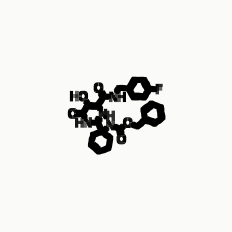 O=C(NC1(c2nc(C(=O)NCc3ccc(F)cc3)c(O)c(=O)[nH]2)CC=CCC1)OCc1ccccc1